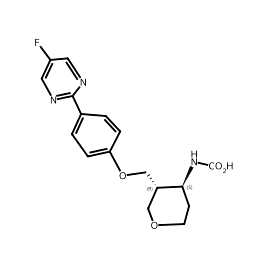 O=C(O)N[C@H]1CCOC[C@@H]1COc1ccc(-c2ncc(F)cn2)cc1